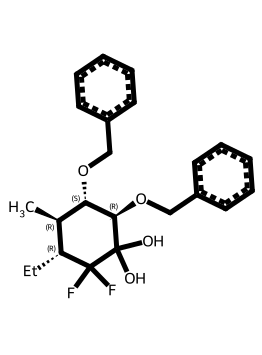 CC[C@@H]1[C@@H](C)[C@H](OCc2ccccc2)[C@@H](OCc2ccccc2)C(O)(O)C1(F)F